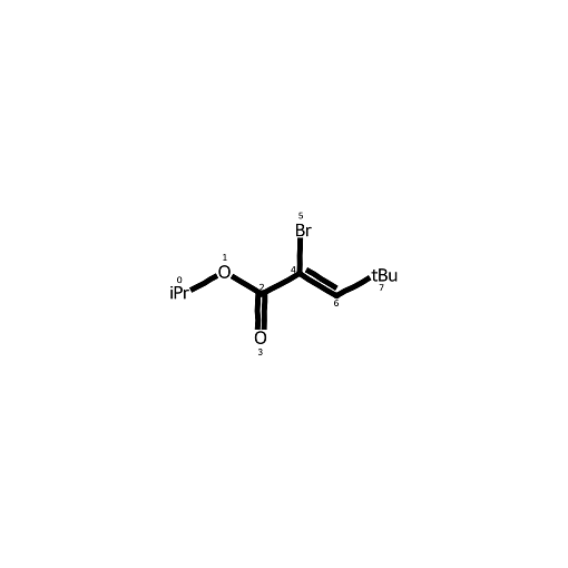 CC(C)OC(=O)C(Br)=CC(C)(C)C